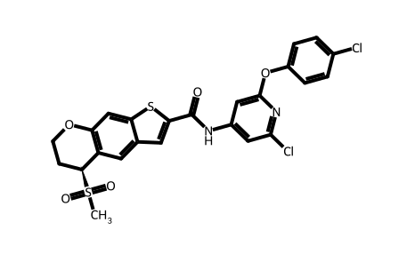 CS(=O)(=O)[C@H]1CCOc2cc3sc(C(=O)Nc4cc(Cl)nc(Oc5ccc(Cl)cc5)c4)cc3cc21